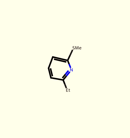 CCc1cccc(SC)n1